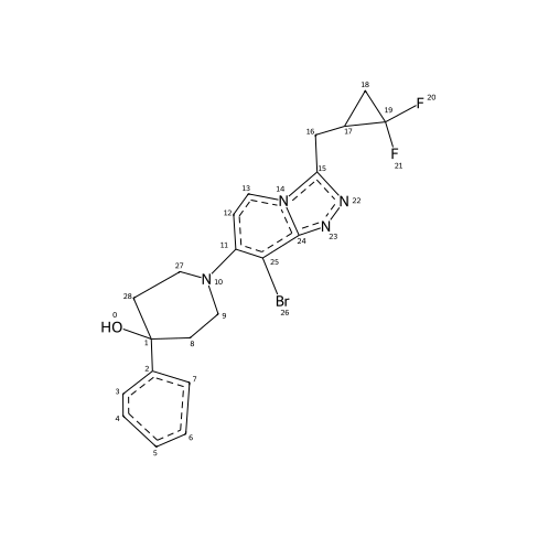 OC1(c2ccccc2)CCN(c2ccn3c(CC4CC4(F)F)nnc3c2Br)CC1